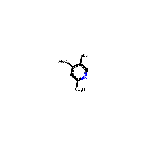 CCCCc1cnc(C(=O)O)cc1OC